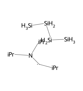 CC(C)[CH]N(C(C)C)C(C)C.[SiH3][SiH2][SiH2][SiH3]